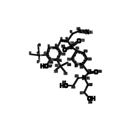 CC(C)(C)c1cc(C=C(CC#N)S(=O)(=O)c2ccc(C(=O)N(CCO)CCO)cc2)cc(C(C)(C)C)c1O